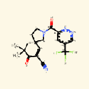 CC1(C)C[C@]2(C=C(C#N)C1=O)CCN(C(=O)c1cc(C(F)(F)F)cnn1)C2